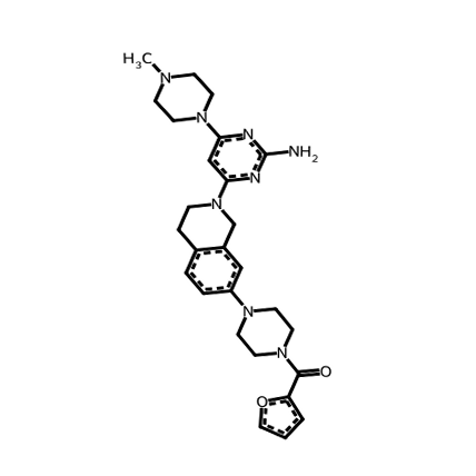 CN1CCN(c2cc(N3CCc4ccc(N5CCN(C(=O)c6ccco6)CC5)cc4C3)nc(N)n2)CC1